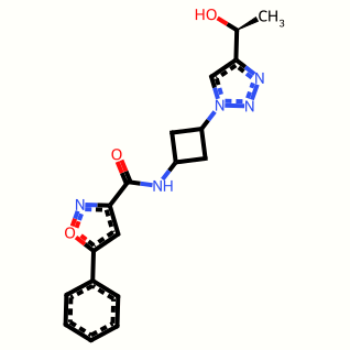 C[C@H](O)c1cn(C2CC(NC(=O)c3cc(-c4ccccc4)on3)C2)nn1